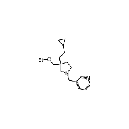 CCOC[C@@]1(CCC2CC2)CCN(Cc2cccnc2)C1